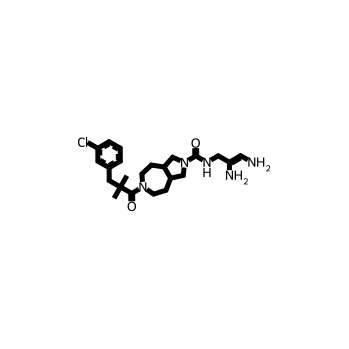 CC(C)(Cc1cccc(Cl)c1)C(=O)N1CCC2CN(C(=O)NC/C(N)=C/N)CC2CC1